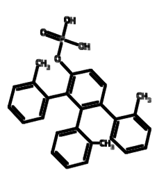 Cc1ccccc1-c1ccc(OP(=O)(O)O)c(-c2ccccc2C)c1-c1ccccc1C